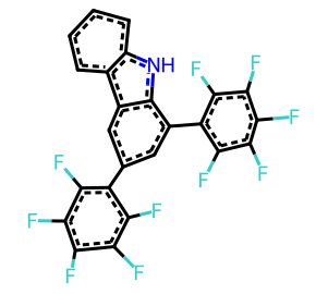 Fc1c(F)c(F)c(-c2cc(-c3c(F)c(F)c(F)c(F)c3F)c3[nH]c4ccccc4c3c2)c(F)c1F